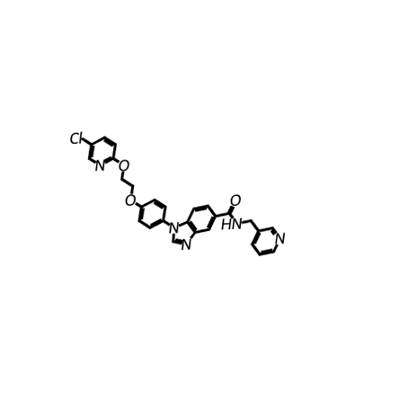 O=C(NCc1cccnc1)c1ccc2c(c1)ncn2-c1ccc(OCCOc2ccc(Cl)cn2)cc1